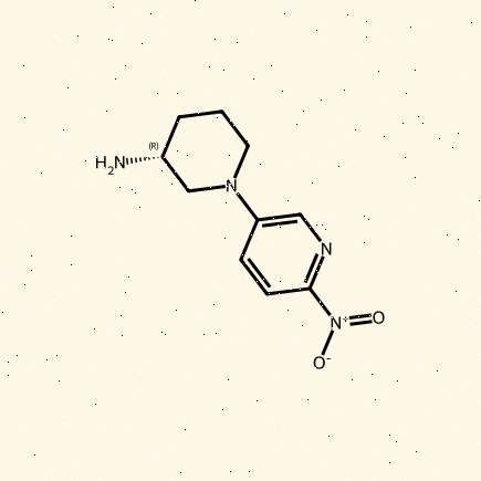 N[C@@H]1CCCN(c2ccc([N+](=O)[O-])nc2)C1